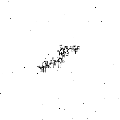 CC1(NC(=O)O[C@@H]2CC[C@H](c3cc(Nc4ncc(F)c5nc(COC(F)(F)F)cn45)n[nH]3)[C@@H]2F)CC1